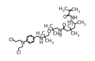 C=C(C)C(=O)NCC(C)CC(C)(C)CC(=O)NCC(C)(C)OCC(C)(C)NCc1ccc(N(CCCl)CCCl)cc1